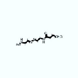 CC(C)NCCSSCCNC(=O)CCC=O